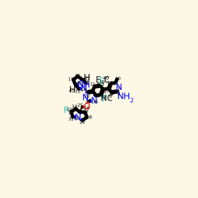 Cc1nc(N)c(C#N)c(-c2c(F)cc3c(N4C[C@H]5CC[C@@H](C4)N5)nc(OC[C@@]45CCCN4C[C@H](F)C5)nc3c2F)c1C(F)(F)F